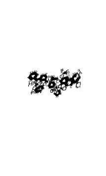 C[n+]1cc(Cl)c(C[C@H](OC(=O)[C@@H]2CCCN2S(=O)(=O)c2ccc(NC(=O)c3cccc([C@@H](NC(=O)O[C@H]4CN5CCC4CC5)c4ccccc4)c3)cc2)c2ccc(OC(F)F)c(OCC3CC3)c2)c(Cl)c1